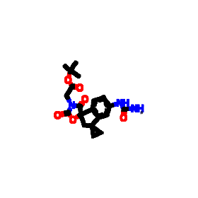 CNC(=O)Nc1ccc2c(c1)C1(CC1)CC21OC(=O)N(CC(=O)OC(C)(C)C)C1=O